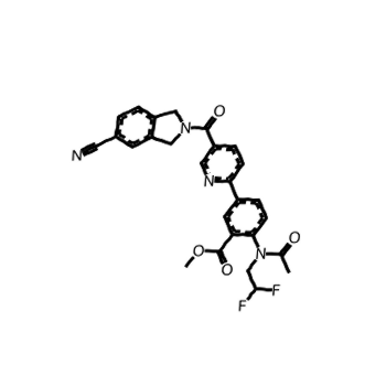 COC(=O)c1cc(-c2ccc(C(=O)N3Cc4ccc(C#N)cc4C3)cn2)ccc1N(CC(F)F)C(C)=O